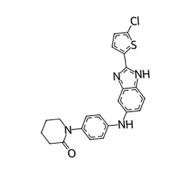 O=C1CCCCN1c1ccc(Nc2ccc3[nH]c(-c4ccc(Cl)s4)nc3c2)cc1